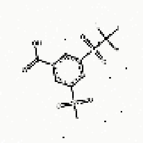 CS(=O)(=O)c1cc(C(=O)O)cc(S(=O)(=O)C(F)(F)F)c1